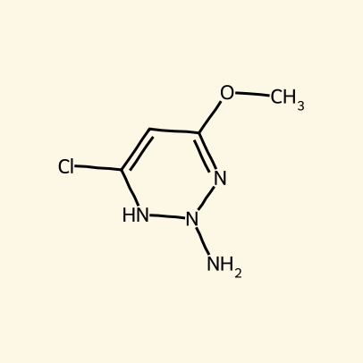 COC1=NN(N)NC(Cl)=C1